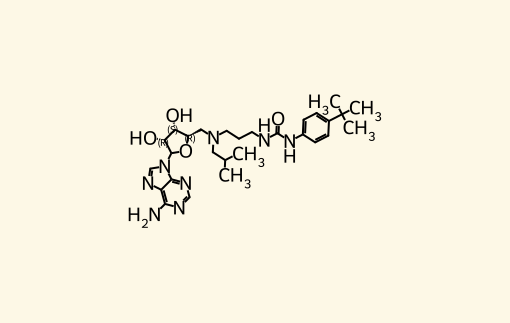 CC(C)CN(CCCNC(=O)Nc1ccc(C(C)(C)C)cc1)C[C@H]1OC(n2cnc3c(N)ncnc32)[C@H](O)[C@@H]1O